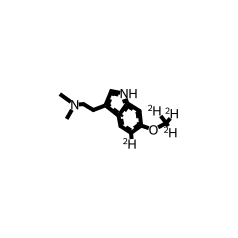 [2H]c1cc2c(CCN(C)C)c[nH]c2cc1OC([2H])([2H])[2H]